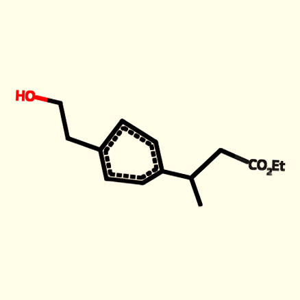 CCOC(=O)CC(C)c1ccc(CCO)cc1